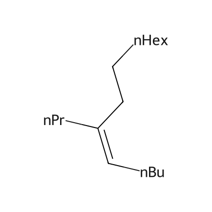 CCCCC=C(CCC)CCCCCCCC